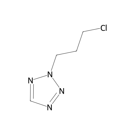 ClCCCn1ncnn1